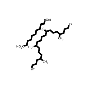 CC(C)CCCC(C)CCCC(C)CCCCC(C)CCCC(C)CCCC(C)C.CCCCCCCCC=CCCCCCCCC(=O)O